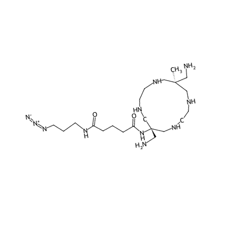 C[C@]1(CN)CNCCNC[C@](CN)(NC(=O)CCCC(=O)NCCCN=[N+]=[N-])CNCCNC1